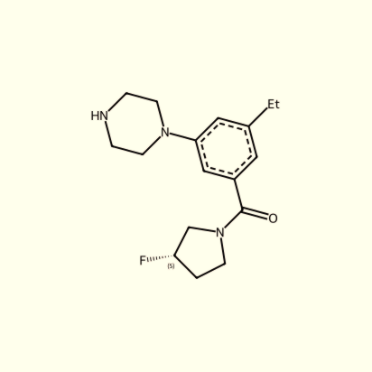 CCc1cc(C(=O)N2CC[C@H](F)C2)cc(N2CCNCC2)c1